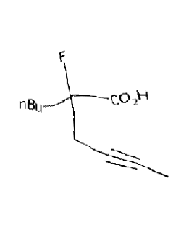 CC#CCC(F)(CCCC)C(=O)O